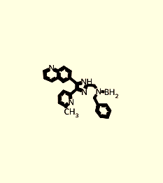 BN(Cc1ccccc1)Cc1nc(-c2cccc(C)n2)c(-c2ccc3ncccc3c2)[nH]1